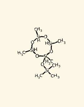 C[SiH]1O[SiH](C)O[Si](C)(O[Si](C)(C)C)O[SiH](C)O1